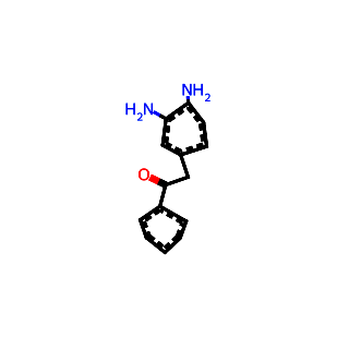 Nc1ccc(CC(=O)c2ccccc2)cc1N